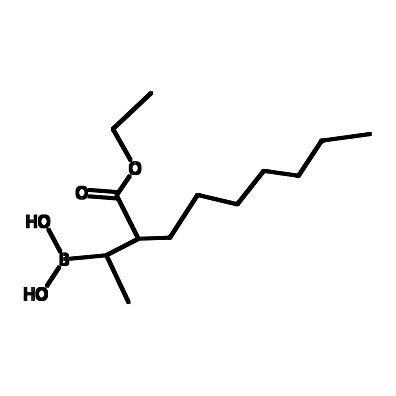 CCCCCCCC(C(=O)OCC)C(C)B(O)O